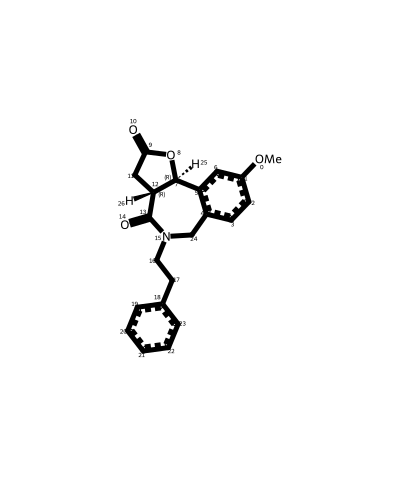 COc1ccc2c(c1)[C@@H]1OC(=O)C[C@H]1C(=O)N(CCc1ccccc1)C2